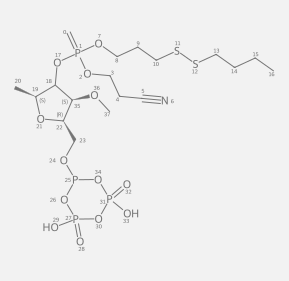 C=P(OCCC#N)(OCCCSSCCCC)OC1[C@H](C)O[C@H](COP2OP(=O)(O)OP(=O)(O)O2)[C@@H]1OC